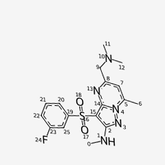 CNc1nn2c(C)cc(CN(C)C)nc2c1S(=O)(=O)c1cccc(F)c1